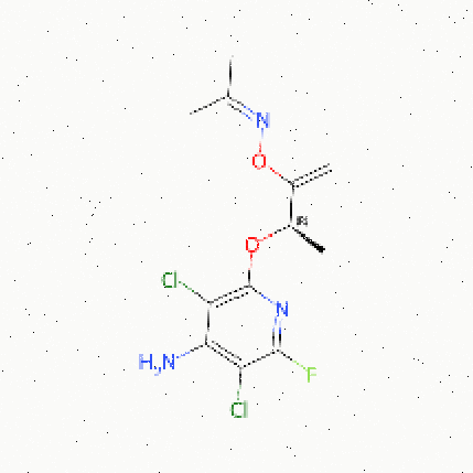 C=C(ON=C(C)C)[C@@H](C)Oc1nc(F)c(Cl)c(N)c1Cl